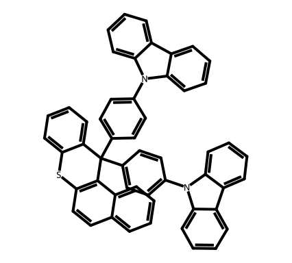 c1ccc2c(c1)Sc1ccc3ccccc3c1C2(c1ccc(-n2c3ccccc3c3ccccc32)cc1)c1ccc(-n2c3ccccc3c3ccccc32)cc1